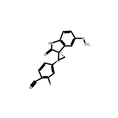 COc1ccc2c(c1)[C@]1(C[C@H]1c1ccc(C#N)c(F)c1)C(=O)N2